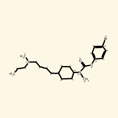 CCCN(C)CCCCC1CCC(N(C)C(=O)Oc2ccc(Br)cc2)CC1